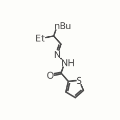 CCCCC(/C=N/NC(=O)c1cccs1)CC